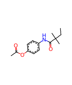 CCC(C)(C)C(=O)Nc1ccc(OC(C)=O)cc1